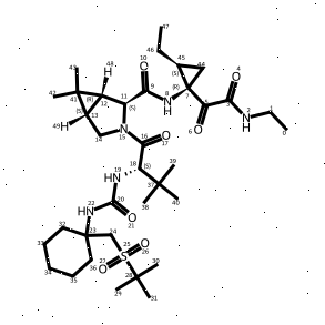 CCNC(=O)C(=O)[C@@]1(NC(=O)[C@@H]2[C@@H]3[C@H](CN2C(=O)[C@@H](NC(=O)NC2(CS(=O)(=O)C(C)(C)C)CCCCC2)C(C)(C)C)C3(C)C)C[C@@H]1CC